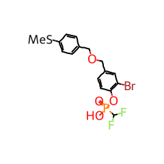 CSc1ccc(COCc2ccc(OP(=O)(O)C(F)F)c(Br)c2)cc1